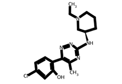 CCN1CCC[C@@H](Nc2nnc(-c3ccc(Cl)cc3O)c(C)n2)C1